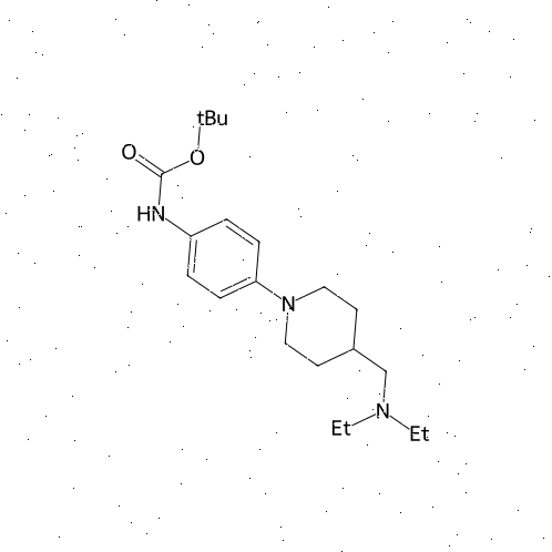 CCN(CC)CC1CCN(c2ccc(NC(=O)OC(C)(C)C)cc2)CC1